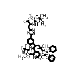 COC(C)c1ncccc1-c1c(CC(C)(C)CO[Si](c2ccccc2)(c2ccccc2)C(C)(C)C)c2cc(-c3nc(CC(NC(=O)OC(C)(C)C)C(=O)O)ns3)ccc2n1CC(F)(F)F